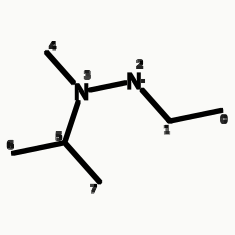 CC[N]N(C)C(C)C